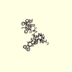 C[C@H](C(=O)N1CCC[C@H](CCn2c(Sc3cc4c(cc3Br)OCO4)nc3c(N)ncnc32)C1)N(C(=O)O)C(C)(C)C